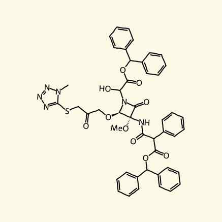 CO[C@@]1(NC(=O)C(C(=O)OC(c2ccccc2)c2ccccc2)c2ccccc2)C(=O)N(C(O)C(=O)OC(c2ccccc2)c2ccccc2)[C@@H]1OCC(=O)CSc1nnnn1C